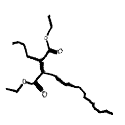 CCCCCCCC(C(=O)OCC)=C(CCC)C(=O)OCC